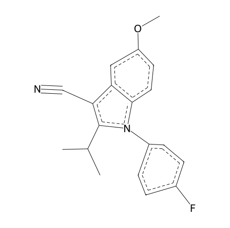 COc1ccc2c(c1)c(C#N)c(C(C)C)n2-c1ccc(F)cc1